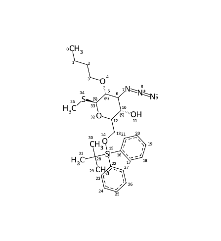 CCCCO[C@@H]1C(N=[N+]=[N-])[C@H](O)C(CO[Si](c2ccccc2)(c2ccccc2)C(C)(C)C)O[C@H]1SC